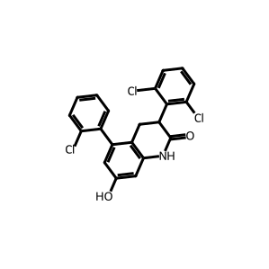 O=C1Nc2cc(O)cc(-c3ccccc3Cl)c2CC1c1c(Cl)cccc1Cl